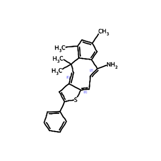 Cc1cc(C)c2c(c1)/C(N)=C/C=c1/sc(-c3ccccc3)c/c1=C\C2(C)C